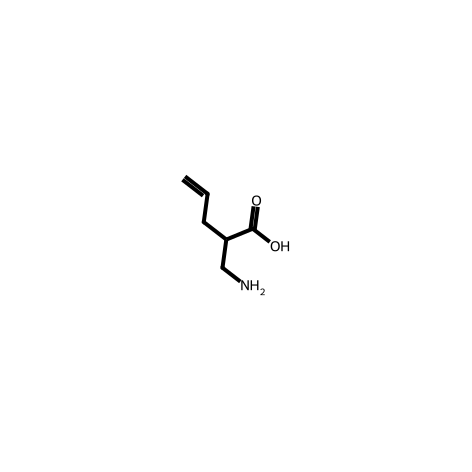 C=CCC(CN)C(=O)O